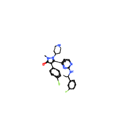 CC(Nc1nccc(-c2c(-c3ccc(F)cc3)c(=O)n(C)n2C2CCNCC2)n1)c1cccc(F)c1